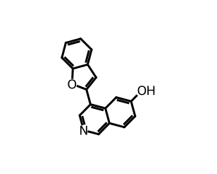 Oc1ccc2cncc(-c3cc4ccccc4o3)c2c1